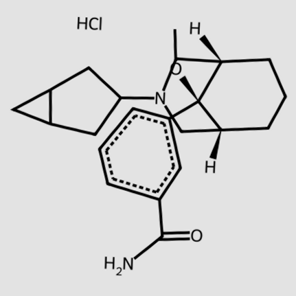 CO[C@]1(c2cccc(C(N)=O)c2)[C@@H]2CCC[C@H]1CN(C1CC3CC3C1)C2.Cl